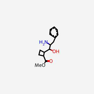 COC(=O)C1CCC1C(O)C(N)Cc1ccccc1